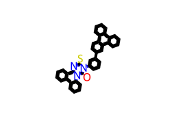 O=c1n(-c2cccc(-c3ccc4c5ccccc5c5ccccc5c4c3)c2)c(=S)nc2c3ccccc3c3ccccc3n12